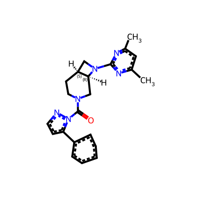 Cc1cc(C)nc(N2C[C@@H]3CCN(C(=O)n4nccc4-c4ccccc4)C[C@@H]32)n1